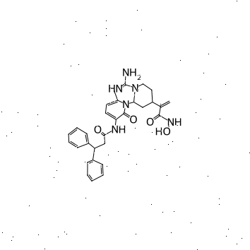 C=C(C(=O)NO)C1CCN(C(=N)N)C(n2c(C)ccc(NC(=O)CC(c3ccccc3)c3ccccc3)c2=O)C1